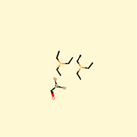 CCP(CC)CC.CCP(CC)CC.O=[CH][Ni]([Br])[Br]